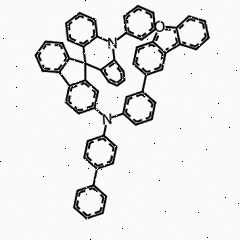 c1ccc(-c2ccc(N(c3cccc(-c4ccc5oc6ccccc6c5c4)c3)c3ccc4c(c3)C3(c5ccccc5-4)c4ccccc4N(c4ccccc4)c4ccccc43)cc2)cc1